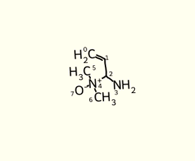 C=CC(N)[N+](C)(C)[O-]